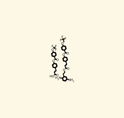 Nc1ccc(N)c(CCOC(=O)C=Cc2ccc(OC(=O)c3ccc(OCC(F)(F)F)cc3)cc2)c1.O=C(O)/C=C/c1ccc(OC(=O)c2ccc(OC(F)(F)F)cc2)cc1